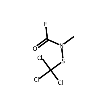 CN(SC(Cl)(Cl)Cl)C(=O)F